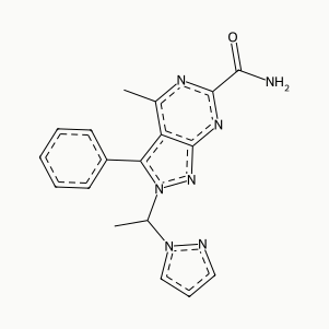 Cc1nc(C(N)=O)nc2nn(C(C)n3cccn3)c(-c3ccccc3)c12